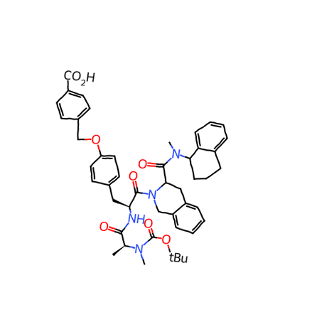 C[C@@H](C(=O)N[C@@H](Cc1ccc(OCc2ccc(C(=O)O)cc2)cc1)C(=O)N1Cc2ccccc2CC1C(=O)N(C)C1CCCc2ccccc21)N(C)C(=O)OC(C)(C)C